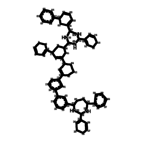 C1=CCCC(C2C=C(C3C=C(c4cccc(-c5cccc(C6CCC(c7ccccc7)NC(C7=CCCC=C7)N6)c5)c4)CCC3)CC(C3NC(C4=CCCC=C4)NC(C4=CC=CC(c5ccccc5)C4)N3)C2)=C1